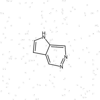 [c]1cc2cnncc2[nH]1